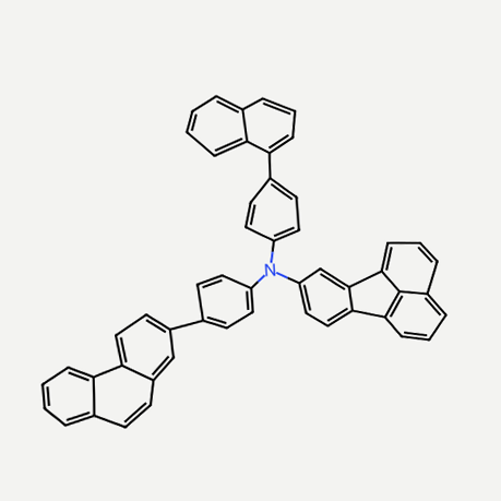 c1ccc2c(-c3ccc(N(c4ccc(-c5ccc6c(ccc7ccccc76)c5)cc4)c4ccc5c(c4)-c4cccc6cccc-5c46)cc3)cccc2c1